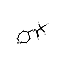 O=C(NC1CCCNCC1)C(F)(F)F